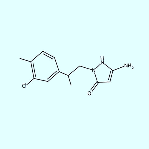 Cc1ccc(C(C)Cn2[nH]c(N)cc2=O)cc1Cl